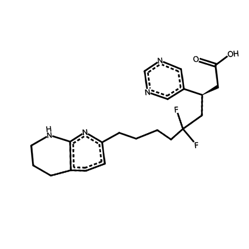 O=C(O)C[C@@H](CC(F)(F)CCCCc1ccc2c(n1)NCCC2)c1cncnc1